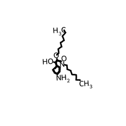 CCCCCCCCOc1c(O)c2ccc(N)cc2n(CCCCCCCC)c1=O